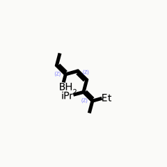 BC(/C=C\C(=C(\C)CC)C(C)C)=C/C